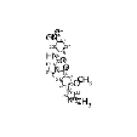 COc1cc(C(=O)N2CCC[C@H]2C(=O)Nc2cccc([N+](=O)[O-])c2)ccc1-n1cnc(C)c1